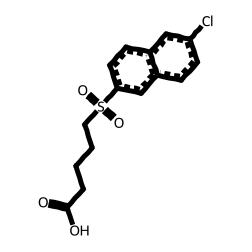 O=C(O)CCCCS(=O)(=O)c1ccc2cc(Cl)ccc2c1